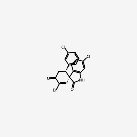 O=C1C[C@@H](c2cccc(Cl)c2)[C@]2(C=C1Br)C(=O)Nc1cc(Cl)ccc12